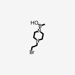 CB(O)N1CCN(CCBr)CC1